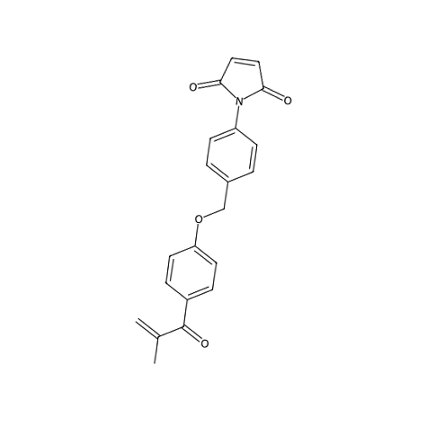 C=C(C)C(=O)c1ccc(OCc2ccc(N3C(=O)C=CC3=O)cc2)cc1